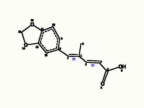 CC(/C=C/C(=O)O)=C\c1ccc2c(c1)OCO2